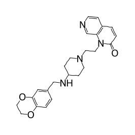 O=c1ccc2ccncc2n1CCN1CCC(NCc2ccc3c(c2)OCCO3)CC1